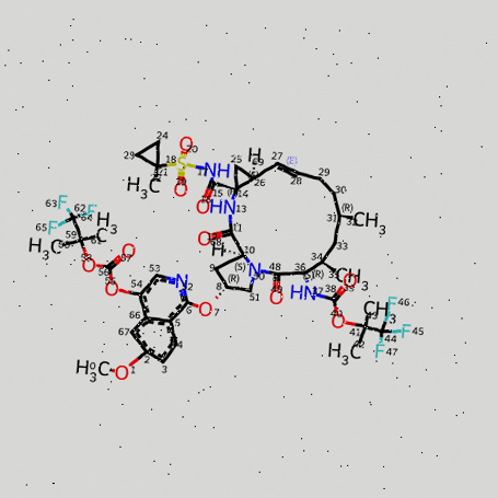 COc1ccc2c(O[C@@H]3C[C@H]4C(=O)N[C@]5(C(=O)NS(=O)(=O)C6(C)CC6)C[C@H]5/C=C/CC[C@@H](C)C[C@@H](C)[C@H](NC(=O)OC(C)(C)C(F)(F)F)C(=O)N4C3)ncc(OC(=O)OC(C)(C)C(F)(F)F)c2c1